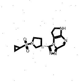 O=S(=O)(C1CC1)N1CC[C@H](c2nnc3cnc4c(n23)CCN4)C1